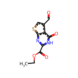 CCOC(=O)c1nc2scc(C=O)c2c(=O)[nH]1